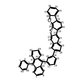 c1ccc(-c2c3ccccc3c(-c3cccc(-c4ccc5cc6c(cc5c4)sc4c6ccc5c6ccccc6oc54)c3)c3ccccc23)cc1